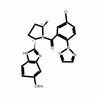 COc1ccc2[nH]c([C@@H]3CC[C@@H](I)N3C(=O)c3cc(Cl)ccc3-n3nccn3)nc2c1